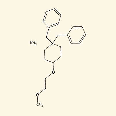 COCCOC1CCC(Cc2ccccc2)(Cc2ccccc2)CC1.N